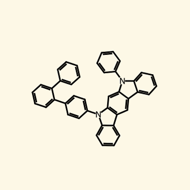 c1ccc(-c2ccccc2-c2ccc(-n3c4ccccc4c4cc5c6ccccc6n(-c6ccccc6)c5cc43)cc2)cc1